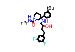 CCCNC(=O)N1CCCC(NCC(O)CCc2cc(F)cc(F)c2)(c2cccc(C(C)(C)C)c2)C1